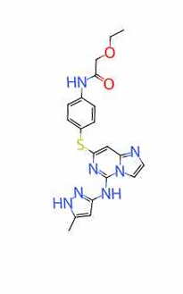 CCOCC(=O)Nc1ccc(Sc2cc3nccn3c(Nc3cc(C)[nH]n3)n2)cc1